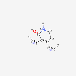 C/C=C\C1=C(/C=C\C)C(=O)N(C)CC1